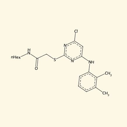 CCCCCCNC(=O)CSc1nc(Cl)cc(Nc2cccc(C)c2C)n1